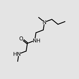 CCCN(C)CCNC(=O)CNC